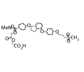 CNOB(OCC(=O)OCC(=O)O)c1ccc(OC2CCc3c(Oc4ccc(OCCCS(C)(=O)=O)cc4)cccc32)cc1